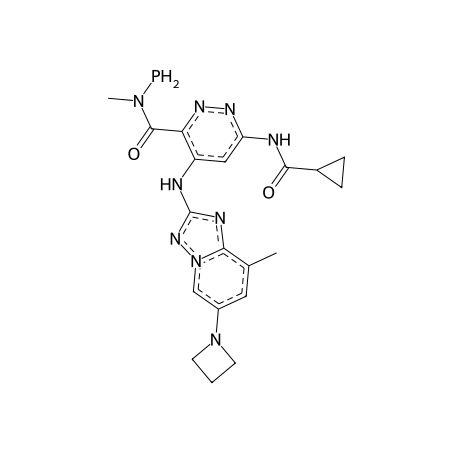 Cc1cc(N2CCC2)cn2nc(Nc3cc(NC(=O)C4CC4)nnc3C(=O)N(C)P)nc12